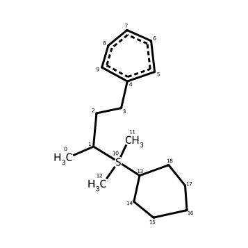 CC(CCc1ccccc1)S(C)(C)C1CCCCC1